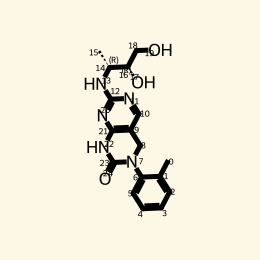 Cc1ccccc1N1Cc2cnc(N[C@H](C)[C@@H](O)CO)nc2NC1=O